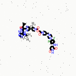 CC1(C)CN(C(=O)OCC(=O)N2CCC(CN3CCN(c4c(F)cc(N[C@@H]5CCC(=O)NC5=O)cc4F)CC3)CC2)CC[C@@H]1c1cnc(-c2c(-c3nn(C(C)(C)C)c4ncnc(N)c34)noc2C2CC2)nc1